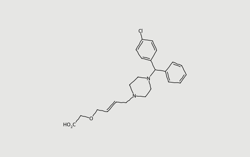 O=C(O)COCC=CCN1CCN(C(c2ccccc2)c2ccc(Cl)cc2)CC1